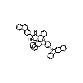 C1=CC(C2N=C(c3ccccc3)NC(c3ccc4c(ccc5ccccc54)c3)N2)C(N2C3=Cc4ccccc4CC3C3=C2CCC(n2c4ccccc4c4cc5ccccc5cc42)=C3)CC1